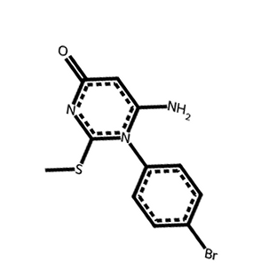 CSc1nc(=O)cc(N)n1-c1ccc(Br)cc1